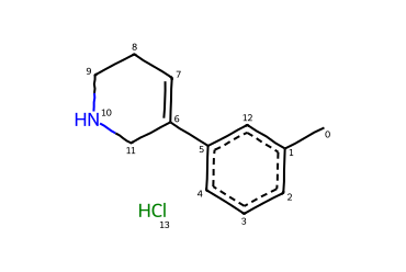 Cc1cccc(C2=CCCNC2)c1.Cl